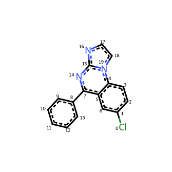 Clc1ccc2c(c1)c(-c1ccccc1)nc1nccn12